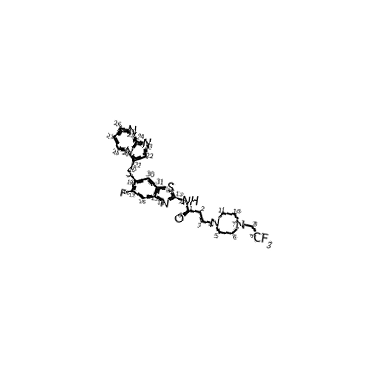 O=C(CCN1CCN(CC(F)(F)F)CC1)Nc1nc2cc(F)c(Sc3cnc4ncccn34)cc2s1